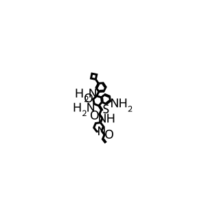 C=CC(=O)N1CCCC(NC(=O)c2sc3c(N)ccc4c3c2C(N)C(=O)C4(N)c2cccc(C3CCC3)c2)C1